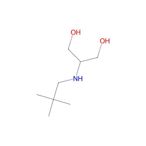 CC(C)(C)CNC(CO)CO